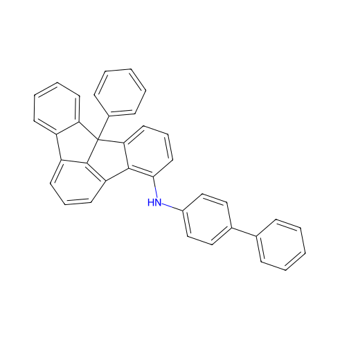 c1ccc(-c2ccc(Nc3cccc4c3-c3cccc5c3C4(c3ccccc3)c3ccccc3-5)cc2)cc1